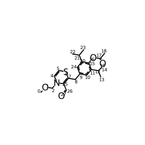 COCN1C=CSC(Cc2cc(C(C)C)c(OC(C)=O)c(C(C)C)c2)=C1C=O